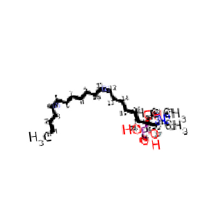 CCCC/C=C\CCCCC/C=C\CCCCCC(O)(C[N+](C)(C)C)P(=O)(O)O